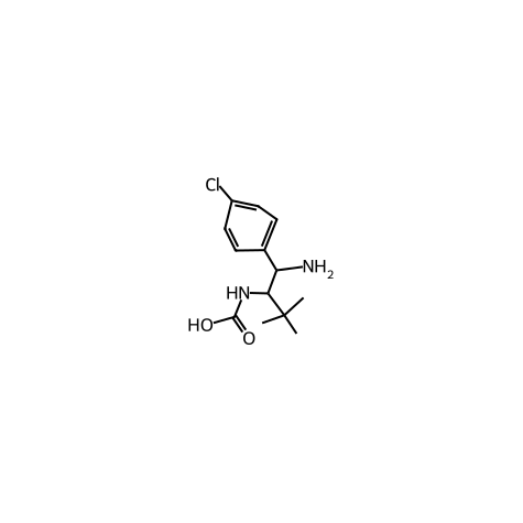 CC(C)(C)C(NC(=O)O)C(N)c1ccc(Cl)cc1